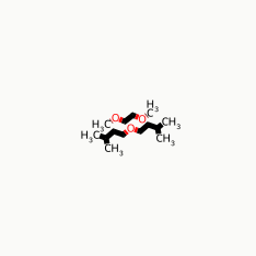 CC(C)CCOCCC(C)C.COCCOC